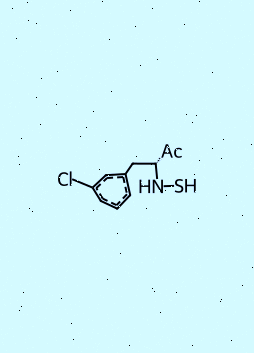 CC(=O)[C@@H](Cc1cccc(Cl)c1)NS